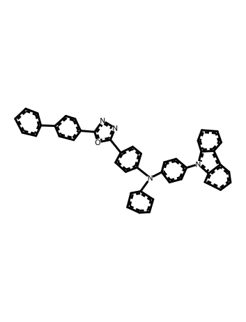 c1ccc(-c2ccc(-c3nnc(-c4ccc(N(c5ccccc5)c5ccc(-n6c7ccccc7c7ccccc76)cc5)cc4)o3)cc2)cc1